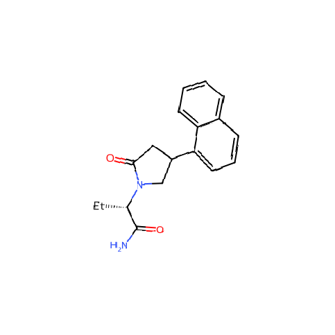 CC[C@@H](C(N)=O)N1CC(c2cccc3ccccc23)CC1=O